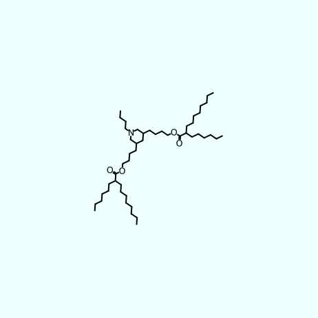 CCCCCCCCC(CCCCCC)C(=O)OCCCCC1CC(CCCCOC(=O)C(CCCCCC)CCCCCCCC)CN(CCCC)C1